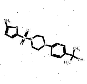 CC(C)(O)c1ccc(N2CCN(S(=O)(=O)c3ccc(N)s3)CC2)cc1